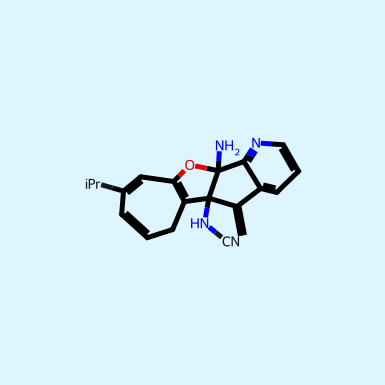 C=C1c2cccnc2C2(N)OC3=C(CC=CC(C(C)C)=C3)C12NC#N